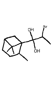 CC(Br)C(O)(O)C12CC(CCC1C)C2(C)C